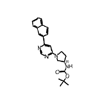 CC(C)(C)OC(=O)N[C@@H]1CCN(c2cc(-c3ccc4ccccc4c3)ncn2)C1